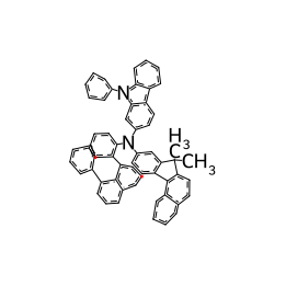 CC1(C)c2cc(N(c3ccc4c5ccccc5n(-c5ccccc5)c4c3)c3ccccc3-c3cccc4cccc(-c5ccccc5)c34)ccc2-c2c1ccc1ccccc21